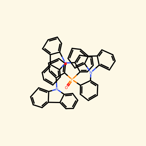 O=P(c1ccccc1-n1c2ccccc2c2ccccc21)(c1ccccc1-n1c2ccccc2c2ccccc21)c1ccccc1-n1c2ccccc2c2ccccc21